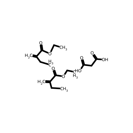 C=C(CC)C(=O)OCC.C=C(CC)C(=O)OCC.O=C(O)CC(=O)O